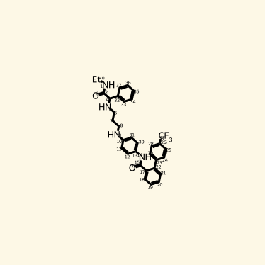 CCNC(=O)C(NCCCNc1ccc(NC(=O)c2ccccc2-c2ccc(C(F)(F)F)cc2)cc1)c1ccccc1